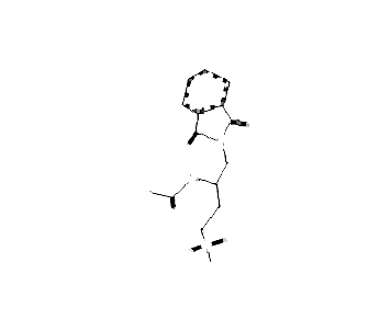 CS(=O)(=O)CCC(CN1C(=O)c2ccccc2C1=O)NC(=O)O